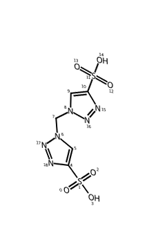 O=S(=O)(O)c1cn(Cn2cc(S(=O)(=O)O)nn2)nn1